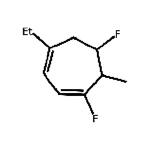 CCC1=CC=C(F)C(C)C(F)C1